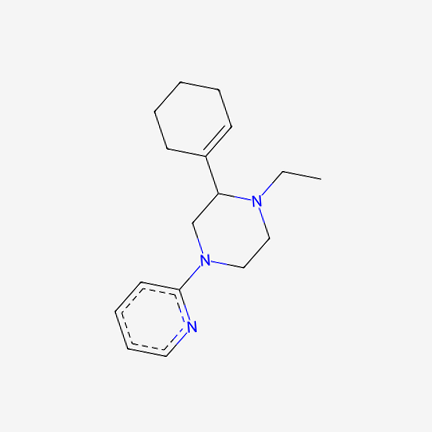 CCN1CCN(c2ccccn2)CC1C1=CCCCC1